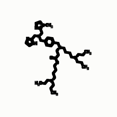 CCCN(CCC)CCCCOC(=O)CCN(CCCCN(CCC)CCC)Cc1ccc(CN(Cc2ncc[nH]2)Cc2nccn2C)cc1